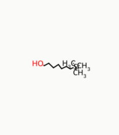 C[Si](C)(C)CCCCCCCO